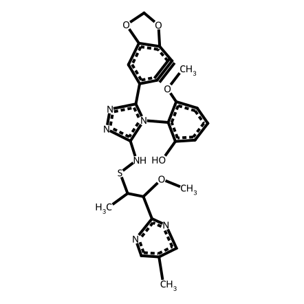 COc1cccc(O)c1-n1c(NSC(C)C(OC)c2ncc(C)cn2)nnc1-c1c#cc2c(c1)OCO2